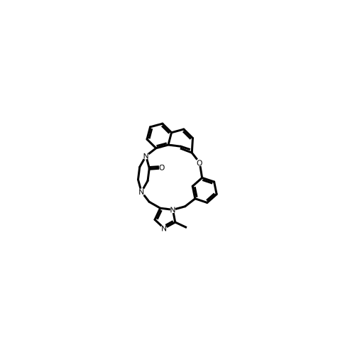 Cc1ncc2n1Cc1cccc(c1)Oc1ccc3cccc(c3c1)N1CCN(CC1=O)C2